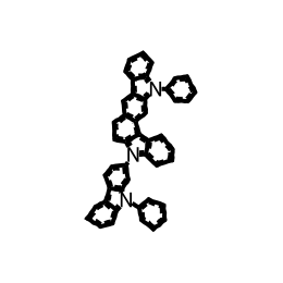 c1ccc(-n2c3ccccc3c3ccc(-n4c5ccccc5c5c6cc7c(cc6ccc54)c4ccccc4n7-c4ccccc4)cc32)cc1